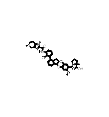 COc1cc(OC2CCc3c(-c4cccc(NC(=O)c5nc6c(n5C)CCN(C)C6)c4Cl)cccc32)c(Cl)cc1CN1CCCC1(C)C(=O)O